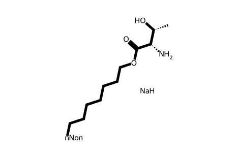 CCCCCCCCCCCCCCCCOC(=O)[C@@H](N)[C@@H](C)O.[NaH]